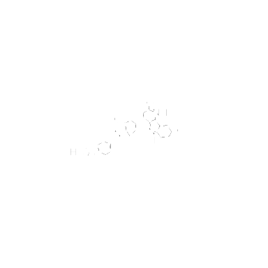 COc1ccc(CN2CCOc3cc(-c4cc(=O)[nH]c5c4[nH]c4ccc(Cl)cc45)ccc32)cc1